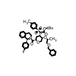 Cc1ccc(S(=O)(=O)N(C(=O)OC(C)(C)C)[C@H]2C[C@H](C(=O)N3CCc4ccccc4[C@@H]3c3ccc(F)cc3)OC[C@@H]2O[C@H](C)COCc2ccccc2)cc1